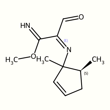 COC(=N)/C(C=O)=N\C1(C)C=CC[C@@H]1C